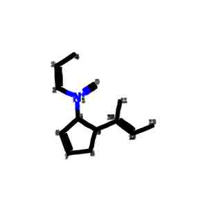 C=[N+](/C=C\C)C1C=CCC1/C(C)=C/C